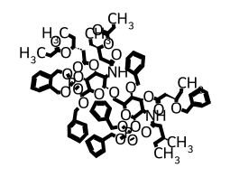 CCC(=O)O[C@H](CC)CC(=O)NC1[C@H](OCC2O[C@H](OP(=O)(OCc3ccccc3)OCc3ccccc3)C(NC(=O)C[C@H](C)CC)[C@@H](OC(=O)C[C@@H](CC)OCc3ccccc3)[C@@H]2OCc2ccccc2)OC(COCc2ccccc2)[C@@H](OP2(=O)OCc3ccccc3CO2)[C@@H]1OC(=O)C[C@@H](CC)OC(=O)CC